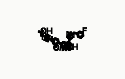 COc1cc(N2CCN(CC(C)O)CC2)ccc1-c1cnc2[nH]cc(-c3cnn(Cc4cccc(F)c4)c3)c2c1